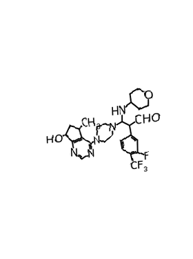 C[C@@H]1C[C@H](O)c2ncnc(N3CCN(C(NC4CCOCC4)C(C=O)c4ccc(C(F)(F)F)c(F)c4)CC3)c21